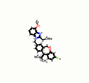 CCOc1cccc2c1nc(COC)n2Cc1ccc2c(c1)COc1cc(F)ccc1/C2=C(\C)C#N